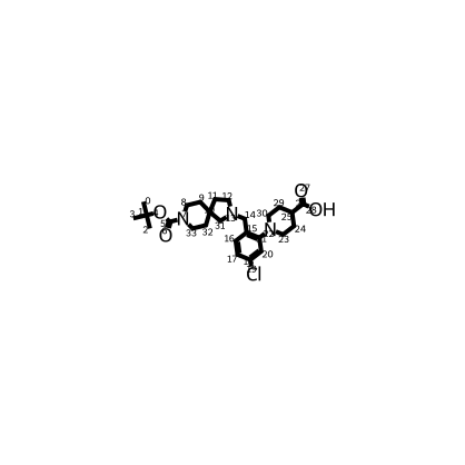 CC(C)(C)OC(=O)N1CCC2(CCN(Cc3ccc(Cl)cc3N3CCC(C(=O)O)CC3)C2)CC1